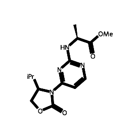 COC(=O)[C@H](C)Nc1nccc(N2C(=O)OCC2C(C)C)n1